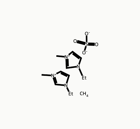 C.CCn1cc[n+](C)c1.CCn1cc[n+](C)c1.O=S(=O)([O-])[O-]